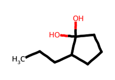 CCCC1CCCC1(O)O